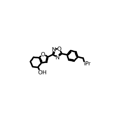 CC(C)Cc1ccc(-c2nc(-c3cc4c(o3)CCCC4O)no2)cc1